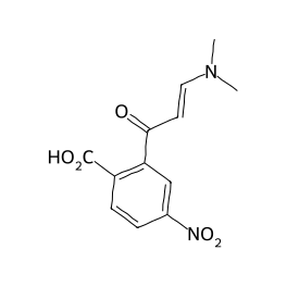 CN(C)C=CC(=O)c1cc([N+](=O)[O-])ccc1C(=O)O